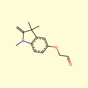 C=C1N(C)c2ccc(OCC=O)cc2C1(C)C